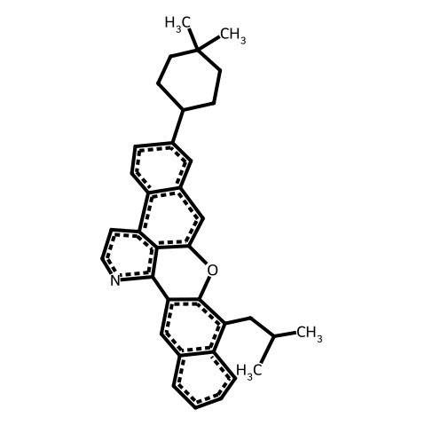 CC(C)Cc1c2c(cc3ccccc13)-c1nccc3c1c(cc1cc(C4CCC(C)(C)CC4)ccc13)O2